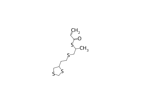 C=CC(=O)SC(C)CSCCC1CSCS1